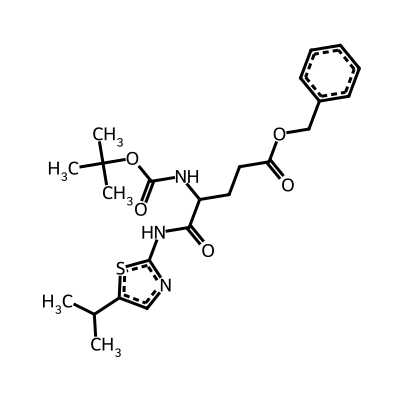 CC(C)c1cnc(NC(=O)C(CCC(=O)OCc2ccccc2)NC(=O)OC(C)(C)C)s1